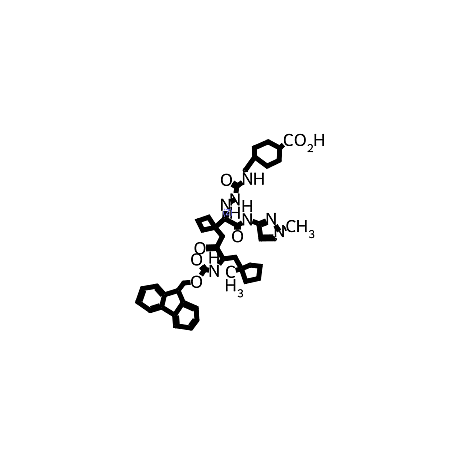 Cn1ccc(NC(=O)/C(=N\NC(=O)NCC2CCC(C(=O)O)CC2)C2(CC(=O)C(CC3(C)CCCC3)NC(=O)OCC3c4ccccc4-c4ccccc43)CCC2)n1